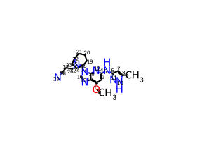 COc1cc(Nc2cc(C)[nH]n2)nc2c1ncn2C12CCCC(CC1)N2CCC#N